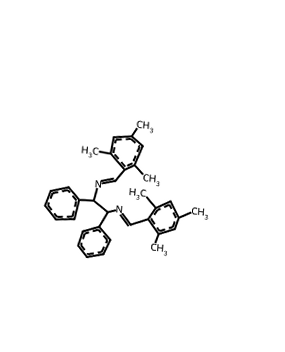 Cc1cc(C)c(C=NC(c2ccccc2)C(N=Cc2c(C)cc(C)cc2C)c2ccccc2)c(C)c1